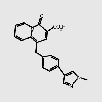 Cn1cc(-c2ccc(Cc3cc(C(=O)O)c(=O)n4ccccc34)cc2)cn1